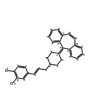 Clc1ccc(/C=C/CN2CCC(=C3c4ccccc4C=Cc4ccccc43)CC2)cc1Cl